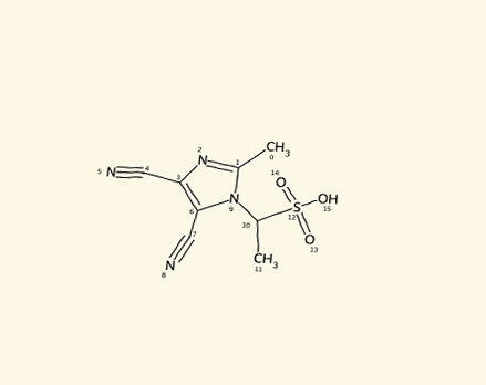 Cc1nc(C#N)c(C#N)n1C(C)S(=O)(=O)O